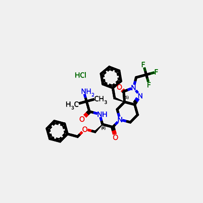 CC(C)(N)C(=O)N[C@H](COCc1ccccc1)C(=O)N1CCC2=NN(CC(F)(F)F)C(=O)[C@@]2(Cc2ccccc2)C1.Cl